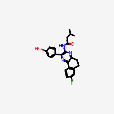 CC(C)CC(=O)Nc1nc2c(nc1-c1ccc(O)cc1)-c1ccc(F)cc1CC2